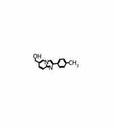 Cc1ccc(-c2cn3cc(CO)ccc3n2)cc1